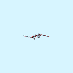 [Li][C](CC(C)CC)(c1ccc(CCCCCCCCCCCC)cc1)c1ccc([C]([Li])(CC(C)CC)c2ccc(CCCCCCCCCCCC)cc2)cc1